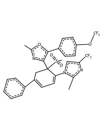 Cc1nc(C2(S(C)(=O)=O)CC(c3ccccc3)=CC=C2n2cc(C(F)(F)F)nc2C)c(-c2ccc(OC(F)(F)F)cc2)o1